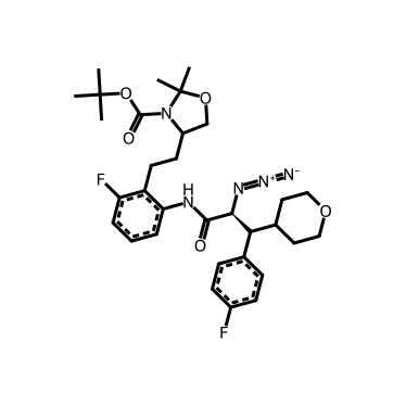 CC(C)(C)OC(=O)N1C(CCc2c(F)cccc2NC(=O)[C@@H](N=[N+]=[N-])C(c2ccc(F)cc2)C2CCOCC2)COC1(C)C